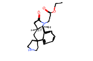 CCOC(=O)CN1C(=O)C[C@H]2CC3(CCNCC3)c3ccccc3[C@H]21